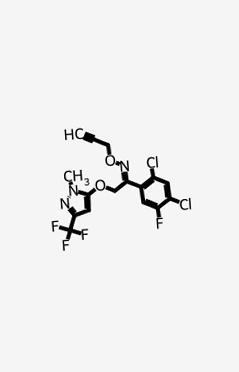 C#CCO/N=C(\COc1cc(C(F)(F)F)nn1C)c1cc(F)c(Cl)cc1Cl